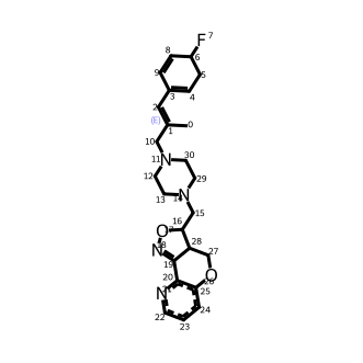 C/C(=C\C1=CCC(F)C=C1)CN1CCN(CC2ON=C3c4ncccc4OCC32)CC1